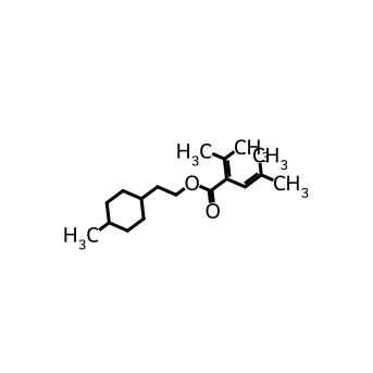 CC(C)=CC(C(=O)OCCC1CCC(C)CC1)=C(C)C